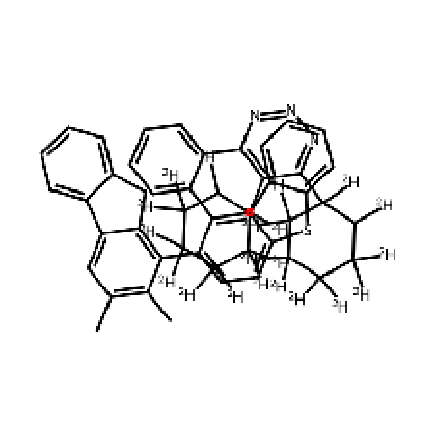 [2H]C1C([2H])([2H])C([2H])([2H])C([2H])([2H])C([2H])([2H])C1([2H])c1nnnc(-c2ccccc2-c2c(-c3c(C)c(C)cc4c3Cc3ccccc3-4)ccc3sc4ccccc4c23)c1C1([2H])C([2H])C([2H])([2H])C([2H])([2H])C([2H])([2H])C1([2H])[2H]